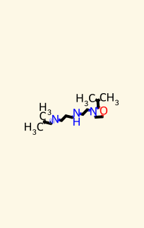 CC(C)/C=N/CCCNCCN1CCOC1C(C)C